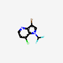 FC(F)n1cc(Br)c2nccc(Cl)c21